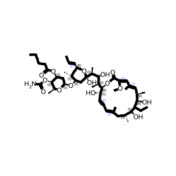 C/C=C/[C@H]1O[C@@](O)([C@@H](C)[C@H](O)[C@H](C)[C@H]2OC(=O)/C(OC)=C/C(C)=C/[C@@H](C)[C@@H](O)C(CC)[C@@H](O)[C@H](C)C/C(C)=C/C=C/[C@@H]2O)C[C@@H](O[C@@H]2C[C@H](OC(=O)CCCC)[C@@H](OC(N)=O)[C@H](C)O2)[C@@H]1C